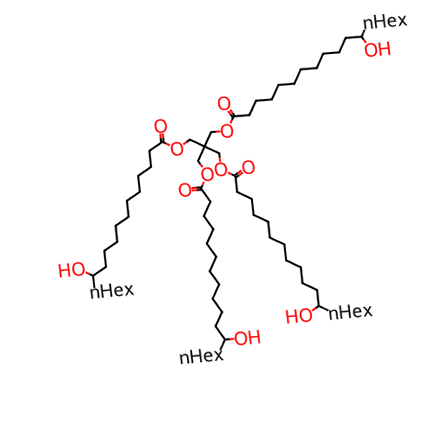 CCCCCCC(O)CCCCCCCCCCC(=O)OCC(COC(=O)CCCCCCCCCCC(O)CCCCCC)(COC(=O)CCCCCCCCCCC(O)CCCCCC)COC(=O)CCCCCCCCCCC(O)CCCCCC